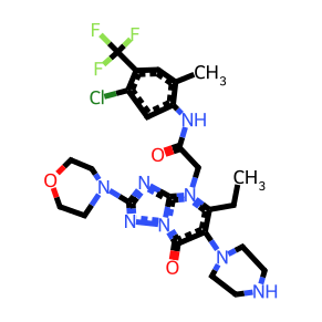 CCc1c(N2CCNCC2)c(=O)n2nc(N3CCOCC3)nc2n1CC(=O)Nc1cc(Cl)c(C(F)(F)F)cc1C